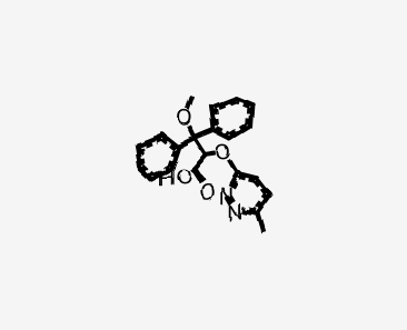 COC(c1ccccc1)(c1ccccc1)C(Oc1ccc(C)nn1)C(=O)O